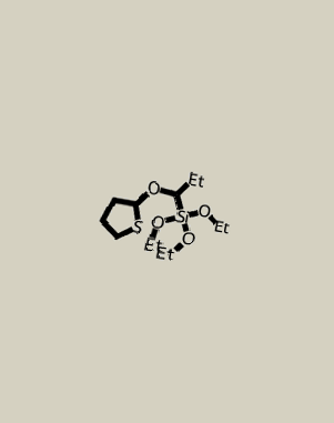 CCO[Si](OCC)(OCC)C(CC)OC1CCCS1